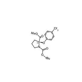 COC(=O)[C@@]1(Oc2ccc(C(F)(F)F)cc2)CCCN1C(=O)OC(C)(C)C